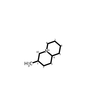 CC1CCC2CCCCN2C1